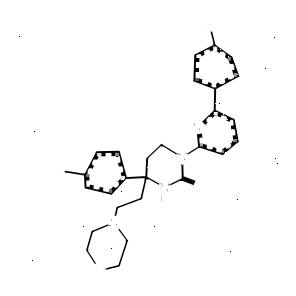 O=C1NC(CCN2CCOCC2)(c2ccc(F)cc2)CCN1c1cccc(-c2ccc(F)cc2)n1